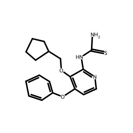 NC(=S)Nc1nccc(Oc2ccccc2)c1OCC1CCCC1